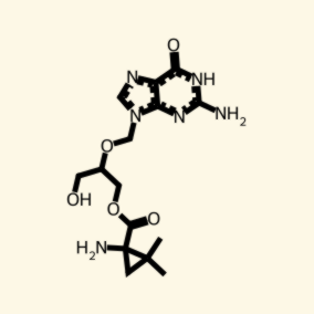 CC1(C)CC1(N)C(=O)OCC(CO)OCn1cnc2c(=O)[nH]c(N)nc21